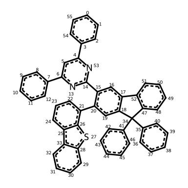 c1ccc(-c2cc(-c3ccccc3)nc(-c3cc4c(cc3-c3cccc5c3sc3ccccc35)C(c3ccccc3)(c3ccccc3)c3ccccc3-4)n2)cc1